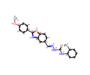 CC(C)c1ccccc1NC(=S)N/N=C/c1ccc2oc(-c3ccc(OC(F)(F)F)cc3)nc2c1